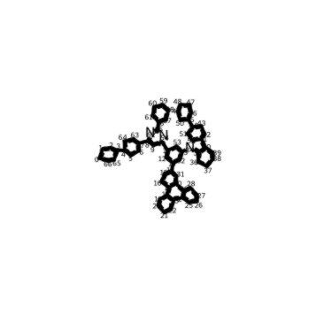 c1ccc(-c2ccc(-c3cc(-c4cc(-c5ccc6c7ccccc7c7ccccc7c6c5)cc(-n5c6ccccc6c6ccc(-c7ccccc7)cc65)c4)nc(-c4ccccc4)n3)cc2)cc1